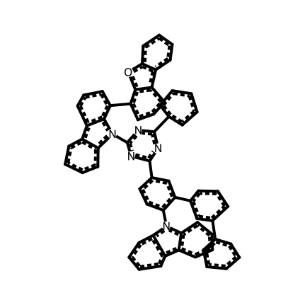 c1ccc(-c2cccc(-c3cc(-c4nc(-c5ccccc5)nc(-n5c6ccccc6c6cccc(-c7cccc8c7oc7ccccc78)c65)n4)ccc3-n3c4ccccc4c4ccccc43)c2)cc1